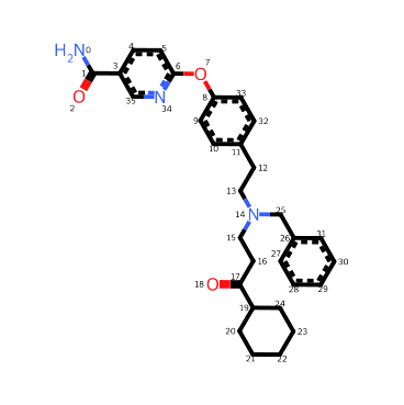 NC(=O)c1ccc(Oc2ccc(CCN(CCC(=O)C3CCCCC3)Cc3ccccc3)cc2)nc1